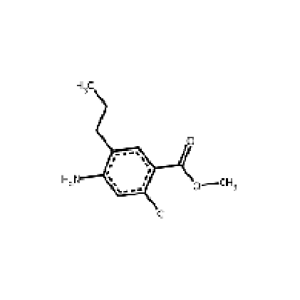 CCCc1cc(C(=O)OC)c(Cl)cc1N